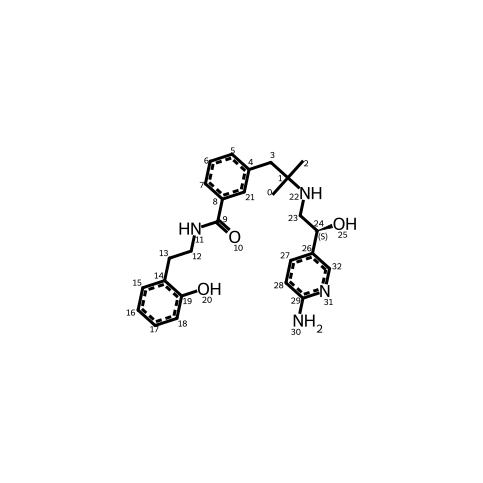 CC(C)(Cc1cccc(C(=O)NCCc2ccccc2O)c1)NC[C@@H](O)c1ccc(N)nc1